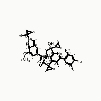 COc1cc(C(=O)NC[C@](O)(c2cc(C3(C(N)=O)CC3)c(F)c(-c3cc(Cl)c(F)cc3F)n2)C2CC2)cc2cn(C3(F)CC3)nc12